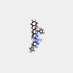 O=c1c(Cc2ccccc2)cc2cnc(Nc3ccc(N4CCC4)cn3)nc2n1C1CCCC1